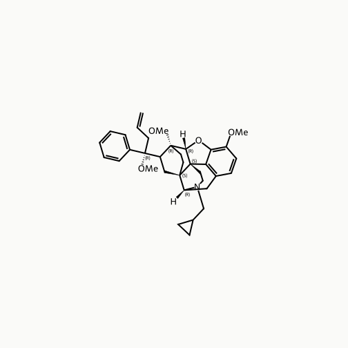 C=CC[C@](OC)(c1ccccc1)C1C[C@@]23CC[C@]1(OC)[C@@H]1Oc4c(OC)ccc5c4[C@@]12CCN(CC1CC1)[C@@H]3C5